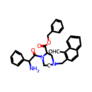 NC(C(=O)N1CCN(Cc2ccc3ccccc3c2C=O)CC1C(=O)OCc1ccccc1)c1ccccc1